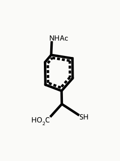 CC(=O)Nc1ccc(C(S)C(=O)O)cc1